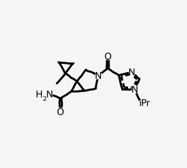 CC(C)n1cnc(C(=O)N2CC3C(C(N)=O)C3(C3(C)CC3)C2)c1